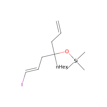 C=CCC(C/C=C/I)(CCCCCC)O[Si](C)(C)C